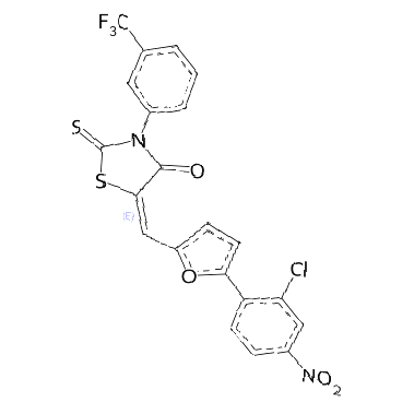 O=C1/C(=C\c2ccc(-c3ccc([N+](=O)[O-])cc3Cl)o2)SC(=S)N1c1cccc(C(F)(F)F)c1